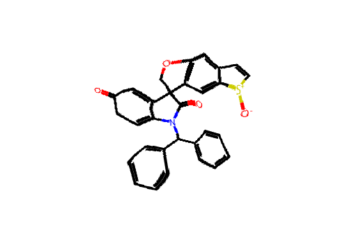 O=C1C=C2C(=CC1)N(C(c1ccccc1)c1ccccc1)C(=O)C21COc2cc3cc[s+]([O-])c3cc21